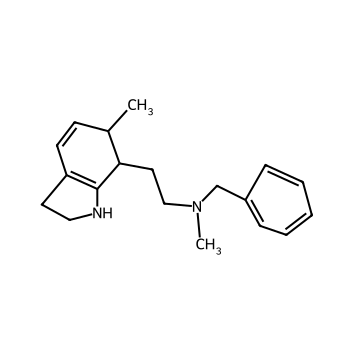 CC1C=CC2=C(NCC2)C1CCN(C)Cc1ccccc1